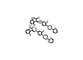 O=C1Nc2cccc(F)c2C1=CNc1ccc(N2CCN(c3cnccn3)CC2)c(F)c1.O=C1Nc2cccc(F)c2C1=CNc1ccc(N2CCN(c3ncccn3)CC2)c(F)c1